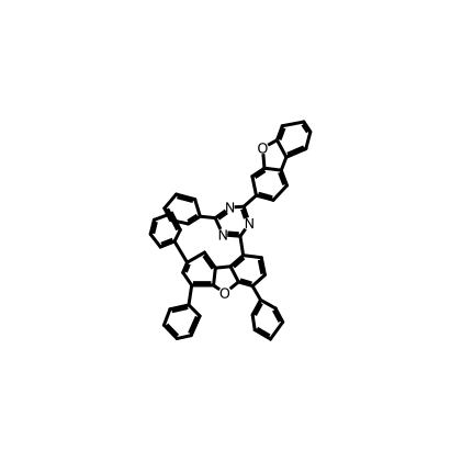 c1ccc(-c2cc(-c3ccccc3)c3oc4c(-c5ccccc5)ccc(-c5nc(-c6ccccc6)nc(-c6ccc7c(c6)oc6ccccc67)n5)c4c3c2)cc1